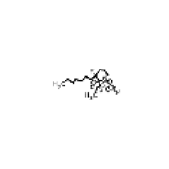 CCCCCCCC1(F)CCC[Si](OC)(OC)C1(CCC)OC